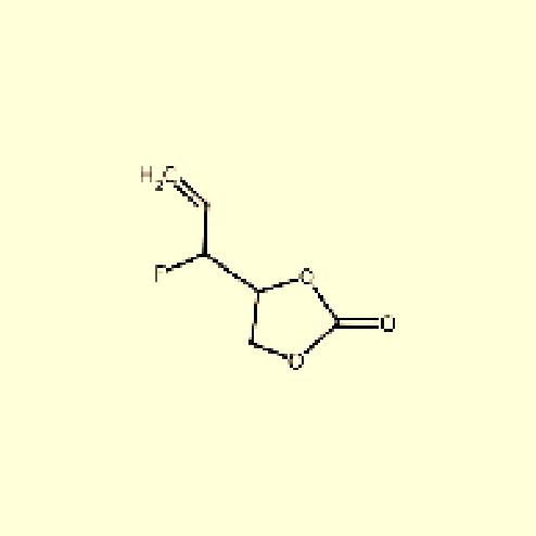 C=CC(F)C1COC(=O)O1